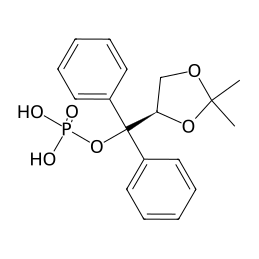 CC1(C)OC[C@H](C(OP(=O)(O)O)(c2ccccc2)c2ccccc2)O1